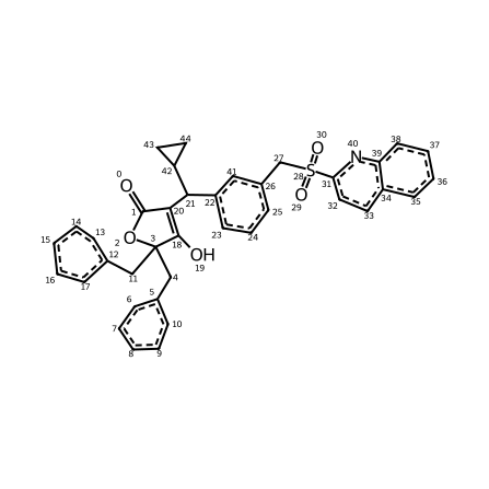 O=C1OC(Cc2ccccc2)(Cc2ccccc2)C(O)=C1C(c1cccc(CS(=O)(=O)c2ccc3ccccc3n2)c1)C1CC1